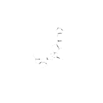 CON=C(C(=O)N[C@@H]1C(=O)N2C(C(=O)O)=C(C(=O)Sc3ccccn3)CS[C@@H]12)c1csc(N)n1